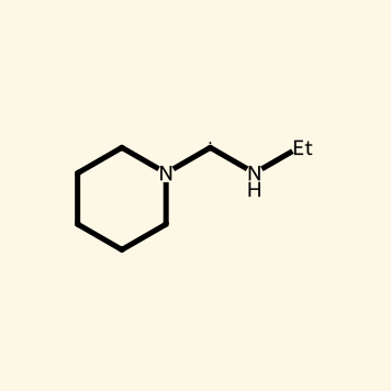 CCN[CH]N1CCCCC1